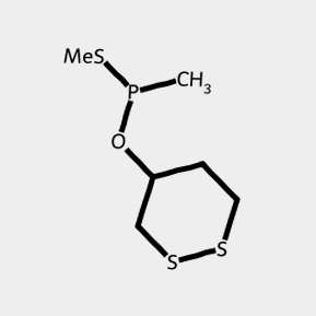 CSP(C)OC1CCSSC1